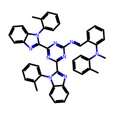 Cc1ccccc1N(C)c1ccccc1/C=N/c1nc(-c2nc3ccccc3n2-c2ccccc2C)nc(-c2nc3ccccc3n2-c2ccccc2C)n1